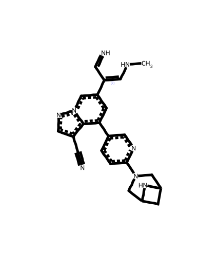 CN/C=C(\C=N)c1cc(-c2ccc(N3CC4CC(C3)N4)nc2)c2c(C#N)cnn2c1